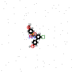 COc1ccc(-c2cc(Cl)ccc2NS(=O)(=O)c2ccc(OC)cc2)cc1